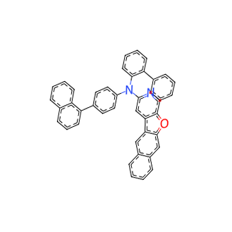 c1ccc(-c2ccccc2N(c2ccc(-c3cccc4ccccc34)cc2)c2cc3c(cn2)oc2cc4ccccc4cc23)cc1